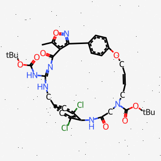 Cc1onc2c1C(=O)/N=C(\NC(=O)OC(C)(C)C)NCc1cc(Cl)c(c(Cl)c1)NC(=O)CN(C(=O)OC(C)(C)C)CC=CCOc1ccc-2cc1